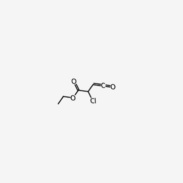 CCOC(=O)C(Cl)C=C=O